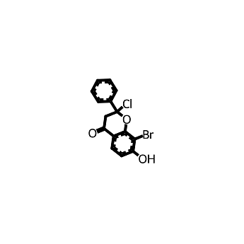 O=C1CC(Cl)(c2ccccc2)Oc2c1ccc(O)c2Br